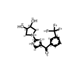 O=C(c1cccc(C(F)(F)F)c1)c1cnc(N2CC(O)C(O)C2)s1